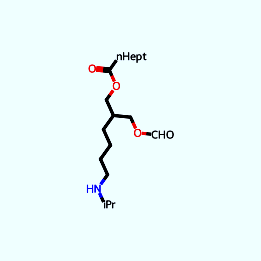 CCCCCCCC(=O)OCC(CCCCNC(C)C)COC=O